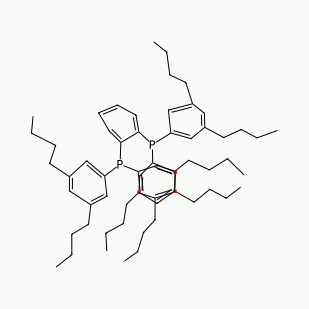 CCCCc1cc(CCCC)cc(P(c2cc(CCCC)cc(CCCC)c2)c2ccccc2P(c2cc(CCCC)cc(CCCC)c2)c2cc(CCCC)cc(CCCC)c2)c1